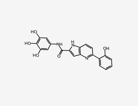 O=C(Nc1cc(O)c(O)c(O)c1)c1cc2nc(-c3ccccc3O)ccc2[nH]1